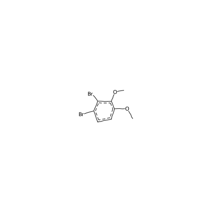 COc1ccc(Br)c(Br)c1OC